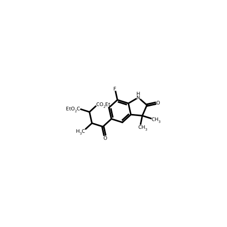 CCOC(=O)C(C(=O)OCC)C(C)C(=O)c1cc(F)c2c(c1)C(C)(C)C(=O)N2